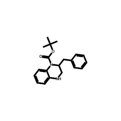 CC(C)(C)OC(=O)N1c2ccccc2NCC1Cc1ccccc1